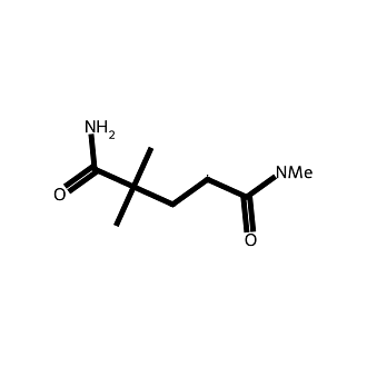 CNC(=O)[CH]CC(C)(C)C(N)=O